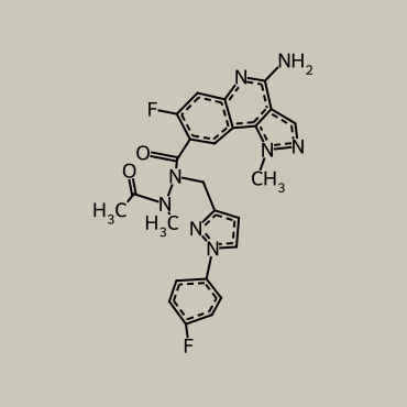 CC(=O)N(C)N(Cc1ccn(-c2ccc(F)cc2)n1)C(=O)c1cc2c(cc1F)nc(N)c1cnn(C)c12